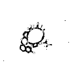 C[C@@H]1C(=O)NS(=O)(=O)c2ccc3c(c2)N(C[C@@H]2CC[C@H]2[C@@H](OC(=O)N(C)C)C=CCN1C)C[C@@]1(CCCc2cc(Cl)ccc21)CO3